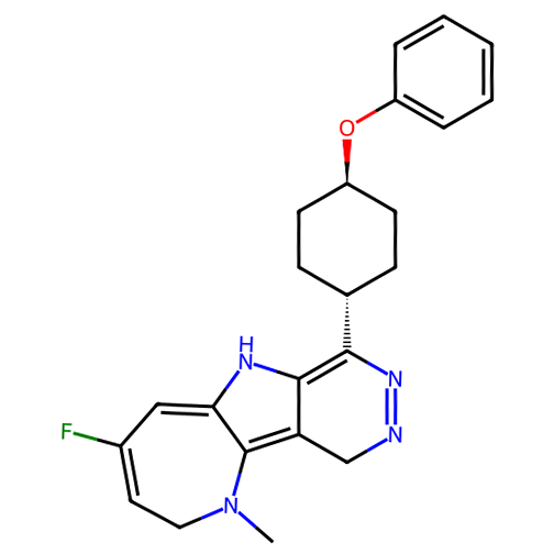 CN1CC=C(F)C=c2[nH]c3c(c21)CN=NC=3[C@H]1CC[C@H](Oc2ccccc2)CC1